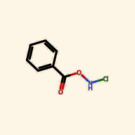 O=C(ONCl)c1ccccc1